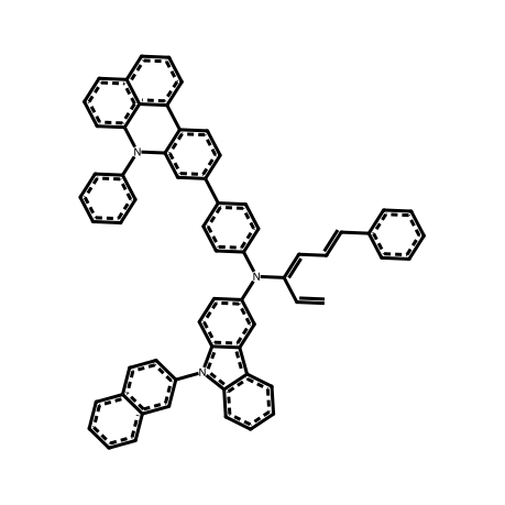 C=C/C(=C\C=C\c1ccccc1)N(c1ccc(-c2ccc3c(c2)N(c2ccccc2)c2cccc4cccc-3c24)cc1)c1ccc2c(c1)c1ccccc1n2-c1ccc2ccccc2c1